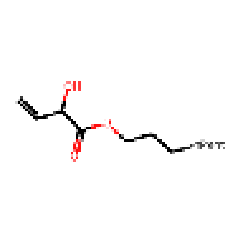 C=CC(O)C(=O)OCCCCCCCC